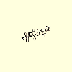 Cc1nc(OCC(F)(F)F)c(F)cc1CNC(=O)c1ccnc(NC(=O)C2CC2)c1